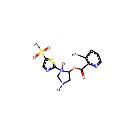 CCCc1cccnc1C(=O)OC1CN(CC)C[N+]1([O-])c1ncc(S(=O)(=O)CCC)s1